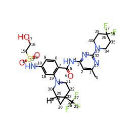 Cc1cc(NC(=O)c2ccc(NS(=O)(=O)CCO)cc2N2CC[C@]3(C(F)(F)F)C[C@@H]3C2)nc(N2CCC(F)(F)CC2)n1